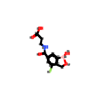 O=C(O)CCNC(=O)c1cc(F)c2c(c1)B(O)OC2